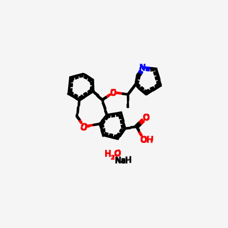 CC(OC1c2ccccc2COc2ccc(C(=O)O)cc21)c1cccnc1.O.[NaH]